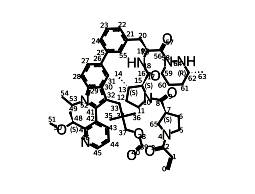 C=CC(=O)N1CC[C@H](C(=O)N2CC[C@H](C)[C@H]2C(=O)N[C@@H](Cc2cccc(-c3ccc4c(c3)c(CC(C)(C)COC=O)c(-c3cccnc3[C@H](C)OC)n4CC)c2)C(=O)N2CCC[C@@H](C)N2)C1